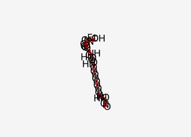 CCc1c2c(nc3ccc(O)cc13)-c1cc3c(c(=O)n1C2)COC(=O)[C@H]3OC(=O)OCc1ccc(NC(=O)CNC(=O)COCC(=O)NCCOCCOCCOCCOCCOCCOCCOCCOCCn2cc(CNC(=O)C3CCC(CN4C(=O)CC(C)C4=O)CC3)nn2)cc1